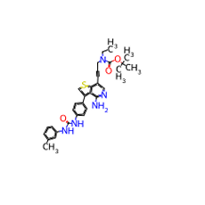 CCN(CC#Cc1cnc(N)c2c(-c3ccc(NC(=O)Nc4cccc(C)c4)cc3)csc12)C(=O)OC(C)(C)C